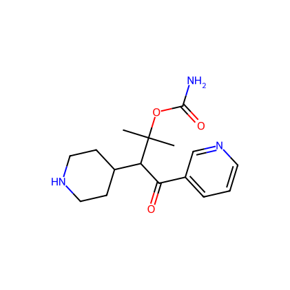 CC(C)(OC(N)=O)C(C(=O)c1cccnc1)C1CCNCC1